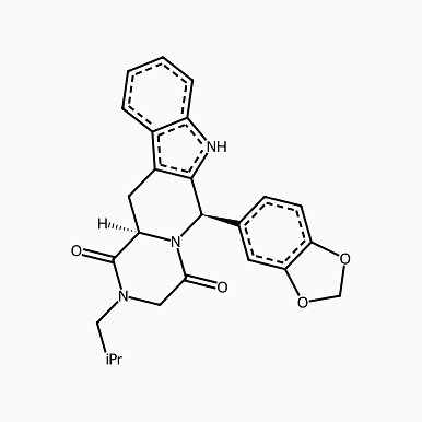 CC(C)CN1CC(=O)N2[C@H](c3ccc4c(c3)OCO4)c3[nH]c4ccccc4c3C[C@@H]2C1=O